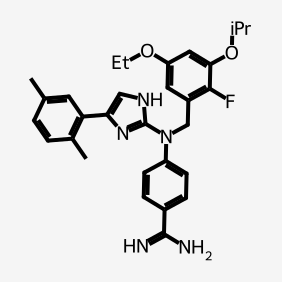 CCOc1cc(CN(c2ccc(C(=N)N)cc2)c2nc(-c3cc(C)ccc3C)c[nH]2)c(F)c(OC(C)C)c1